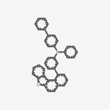 c1ccc(-c2ccc(N(c3ccccc3)c3cccc(-c4cccc5ccc6oc7ccccc7c6c45)c3)cc2)cc1